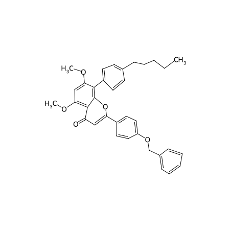 CCCCCc1ccc(-c2c(OC)cc(OC)c3c(=O)cc(-c4ccc(OCc5ccccc5)cc4)oc23)cc1